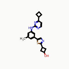 Cc1cc(Nc2nccc(C3CCC3)n2)cc(-c2cnc(C3CC(O)C3)s2)c1